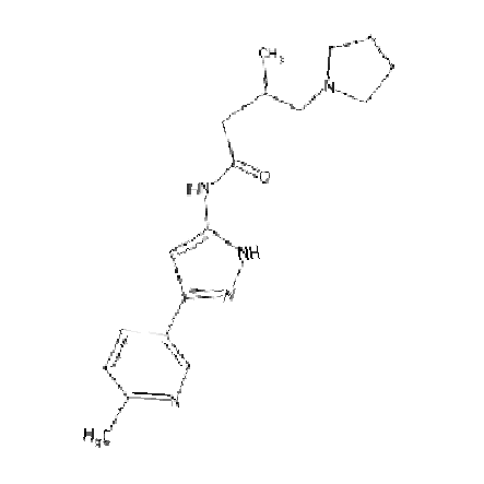 Cc1ccc(-c2cc(NC(=O)CC(C)CN3CCCC3)[nH]n2)cn1